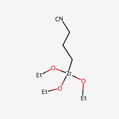 [C-]#[N+]CC[CH2][Zr]([O]CC)([O]CC)[O]CC